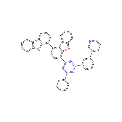 c1ccc(-c2nc(-c3cccc(-c4cccnc4)c3)nc(-c3ccc(-c4cccc5c4sc4ccccc45)c4c3oc3ccccc34)n2)cc1